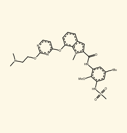 COc1c(NC(=O)c2cc3cccc(Oc4ccnc(OCCN(C)C)n4)c3n2C)cc(C(C)(C)C)cc1NS(C)(=O)=O